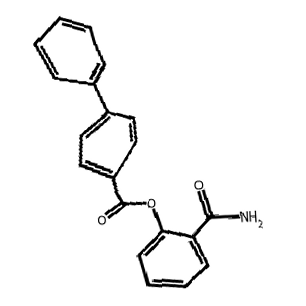 NC(=O)c1ccccc1OC(=O)c1ccc(-c2ccccc2)cc1